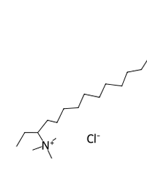 CCCCCCCCCCCC(CC)[N+](C)(C)C.[Cl-]